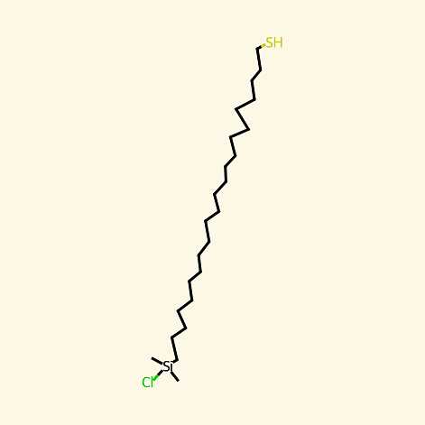 C[Si](C)(Cl)CCCCCCCCCCCCCCCCCCCCCCS